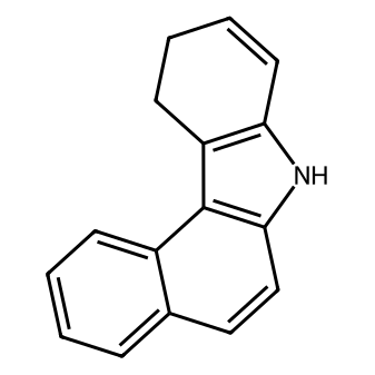 C1=Cc2[nH]c3ccc4ccccc4c3c2CC1